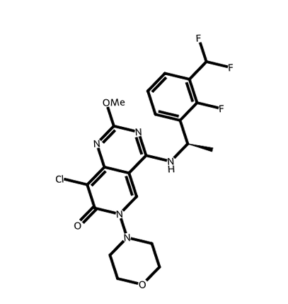 COc1nc(N[C@H](C)c2cccc(C(F)F)c2F)c2cn(N3CCOCC3)c(=O)c(Cl)c2n1